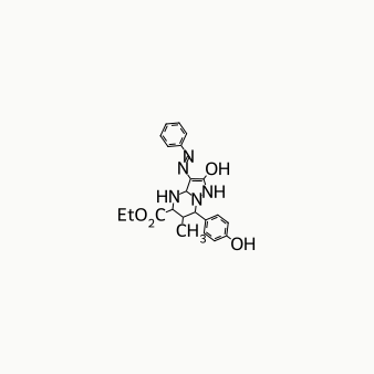 CCOC(=O)C1NC2C(N=Nc3ccccc3)=C(O)NN2C(c2ccc(O)cc2)C1C